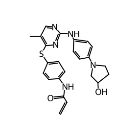 C=CC(=O)Nc1ccc(Sc2nc(Nc3ccc(N4CCC(O)C4)cc3)ncc2C)cc1